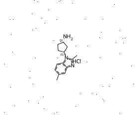 Cc1ccc2c(c1)nc(C)n2[C@H]1CC[C@H](N)C1.Cl